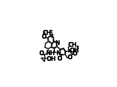 CC[C@@]1(O)C(=O)OCc2c1cc1n(c2=O)Cc2c-1nc1cc(F)c(OC)c3c1c2C(NC(=O)C1(O)CC1)CC3